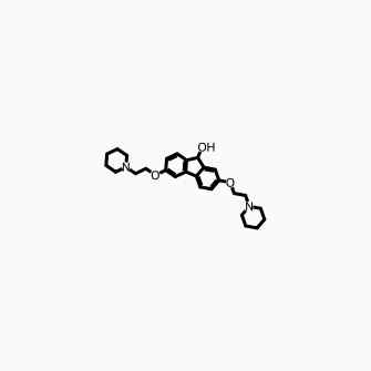 OC1c2ccc(OCCN3CCCCC3)cc2-c2ccc(OCCN3CCCCC3)cc21